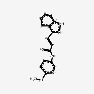 COc1ccc(NC(=O)C=Cc2n[nH]c3ccccc23)cn1